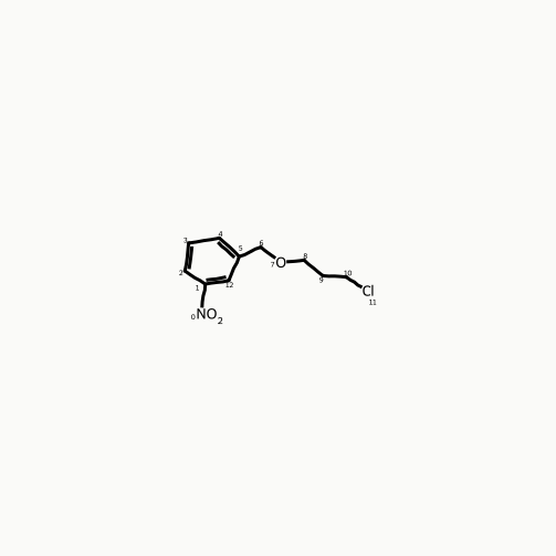 O=[N+]([O-])c1cccc(COCCCCl)c1